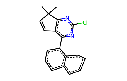 CC1(C)C=Cc2c(-c3cccc4ccccc34)nc(Cl)nc21